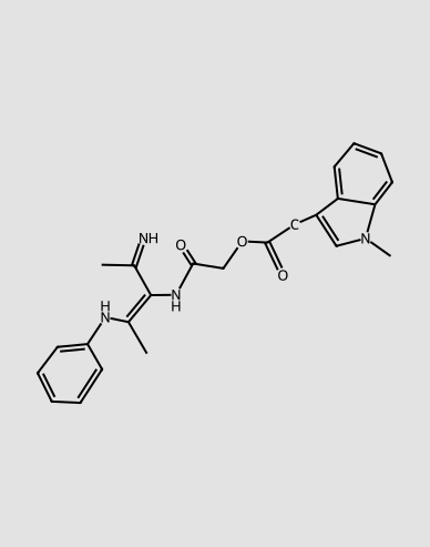 CC(=N)/C(NC(=O)COC(=O)Cc1cn(C)c2ccccc12)=C(/C)Nc1ccccc1